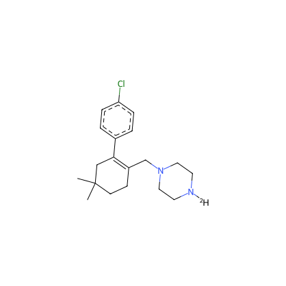 [2H]N1CCN(CC2=C(c3ccc(Cl)cc3)CC(C)(C)CC2)CC1